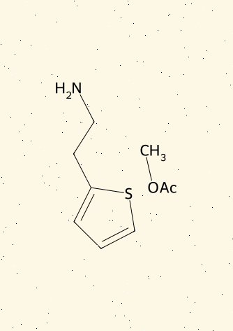 COC(C)=O.NCCc1cccs1